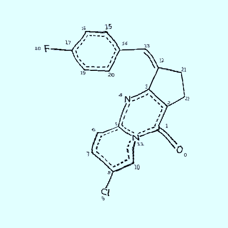 O=c1c2c(nc3ccc(Cl)cn13)/C(=C\c1ccc(F)cc1)CC2